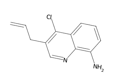 C=CCc1cnc2c(N)cccc2c1Cl